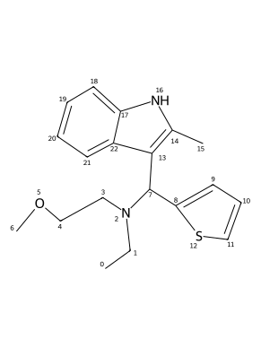 CCN(CCOC)C(c1cccs1)c1c(C)[nH]c2ccccc12